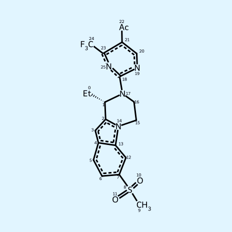 CC[C@H]1c2cc3ccc(S(C)(=O)=O)cc3n2CCN1c1ncc(C(C)=O)c(C(F)(F)F)n1